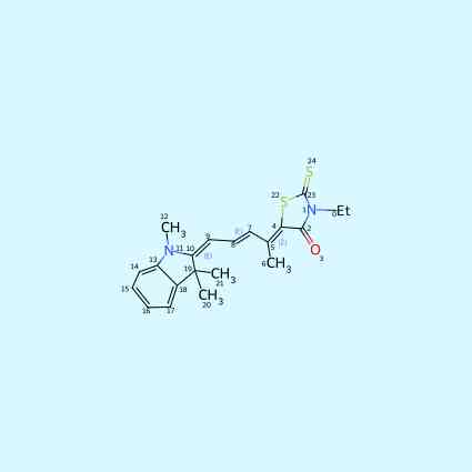 CCN1C(=O)/C(=C(C)/C=C/C=C2/N(C)c3ccccc3C2(C)C)SC1=S